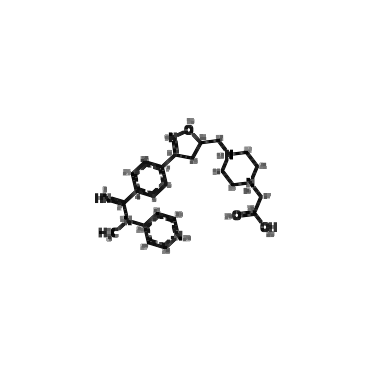 CN(C(=N)c1ccc(C2=NOC(CN3CCN(CC(=O)O)CC3)C2)cc1)c1ccncc1